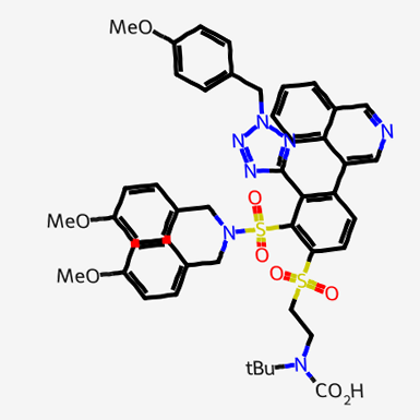 COc1ccc(CN(Cc2ccc(OC)cc2)S(=O)(=O)c2c(S(=O)(=O)CCN(C(=O)O)C(C)(C)C)ccc(-c3cncc4ccccc34)c2-c2nnn(Cc3ccc(OC)cc3)n2)cc1